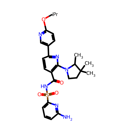 CC(C)Oc1ccc(-c2ccc(C(=O)NS(=O)(=O)c3cccc(N)n3)c(N3CCC(C)(C)C3C)n2)cn1